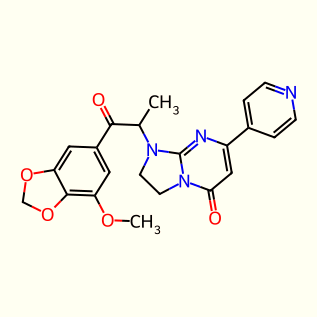 COc1cc(C(=O)C(C)N2CCn3c2nc(-c2ccncc2)cc3=O)cc2c1OCO2